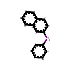 c1ccc([I+]c2ccc3ccccc3c2)cc1